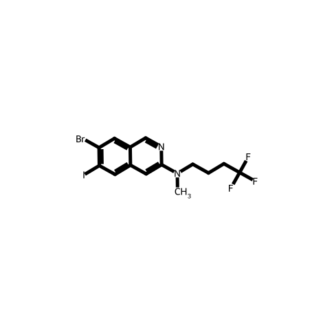 CN(CCCC(F)(F)F)c1cc2cc(I)c(Br)cc2cn1